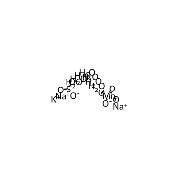 O.O.O.O.O.O.O.O=S([O-])[O-].[K+].[Na+].[Na+].[O]=[Mn](=[O])(=[O])[O-]